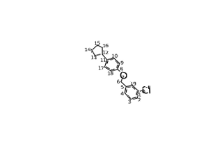 Clc1cccc(COc2ccc(C3C[CH]CC3)cc2)c1